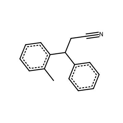 Cc1ccccc1C(CC#N)c1ccccc1